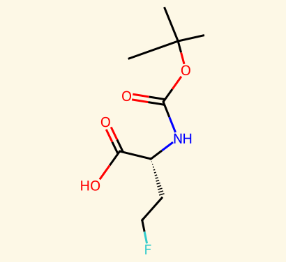 CC(C)(C)OC(=O)N[C@H](CCF)C(=O)O